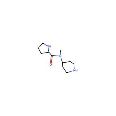 CN(C(=O)C1CCCN1)C1CCNCC1